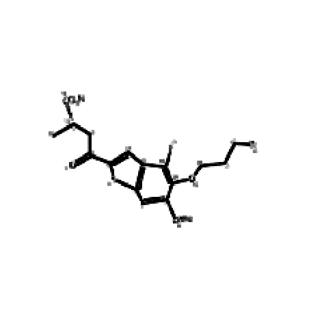 COc1cc2sc(C(=O)C[C@H](C)C(=O)O)cc2c(F)c1OCCCBr